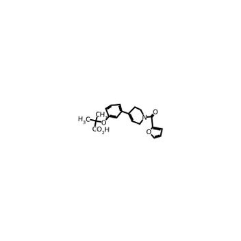 CC(C)(Oc1cccc(C2=CCN(C(=O)c3ccco3)CC2)c1)C(=O)O